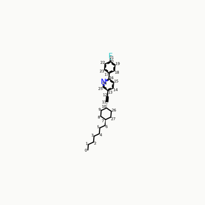 CCCCCCC[C@H]1CC[C@H](C#Cc2ccc(-c3ccc(F)cc3)nc2)CC1